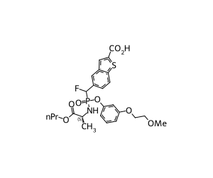 CCCOC(=O)[C@H](C)NP(=O)(Oc1cccc(OCCOC)c1)C(F)c1ccc2sc(C(=O)O)cc2c1